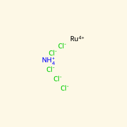 [Cl-].[Cl-].[Cl-].[Cl-].[Cl-].[NH4+].[Ru+4]